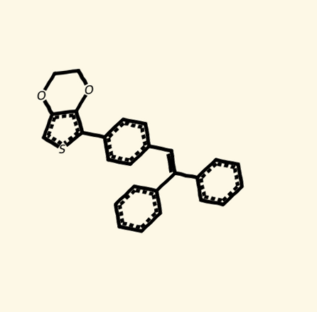 C(=C(c1ccccc1)c1ccccc1)c1ccc(-c2scc3c2OCCO3)cc1